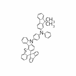 CC1(C)c2ccccc2-c2ccc(N(c3ccccc3)c3ccc(-n4c5ccccc5c5c6c(ccc54)C4(c5ccccc5S6)c5ccccc5-c5ccccc54)cc3)cc21